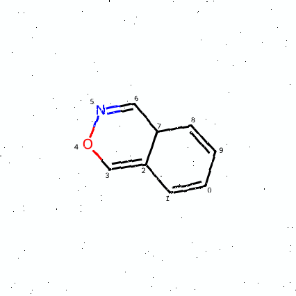 C1=CC2=CON=CC2C=C1